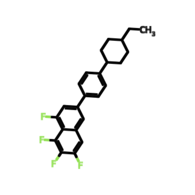 CCC1CCC(c2ccc(-c3cc(F)c4c(F)c(F)c(F)cc4c3)cc2)CC1